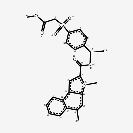 COC(=O)CS(=O)(=O)c1ccc([C@@H](C)NC(=O)c2cc3c4ccccc4c(C)cc3n2C)cc1